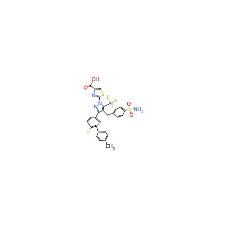 Cc1ccc(-c2cc(-c3nn(-c4nc(C(=O)O)cs4)c(C(F)(F)F)c3Cc3ccc(S(N)(=O)=O)cc3)ccc2F)cc1